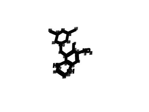 Cc1c([N+](=O)[O-])cc2c(c1CN1CC(C)CC(C)C1)NC=CN2